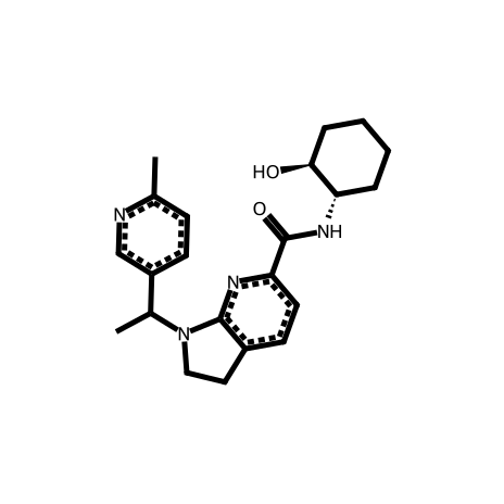 Cc1ccc(C(C)N2CCc3ccc(C(=O)N[C@H]4CCCC[C@@H]4O)nc32)cn1